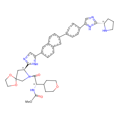 COC(=O)N[C@H](C(=O)N1CC2(C[C@H]1c1ncc(-c3ccc4cc(-c5ccc(-c6cnc([C@@H]7CCCN7)[nH]6)cc5)ccc4c3)[nH]1)OCCO2)C1CCOCC1